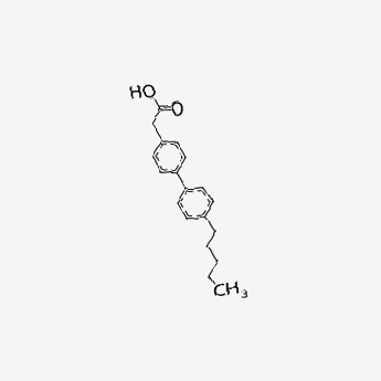 CCCCCc1ccc(-c2ccc(CC(=O)O)cc2)cc1